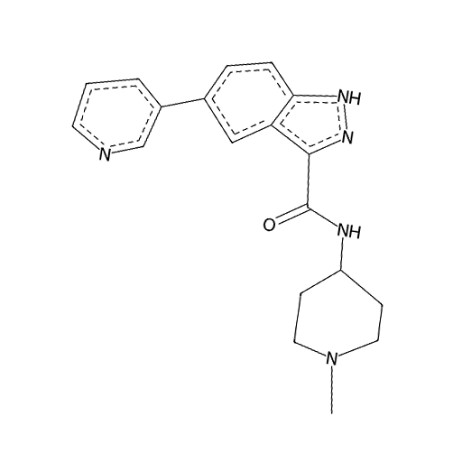 CN1CCC(NC(=O)c2n[nH]c3ccc(-c4cccnc4)cc23)CC1